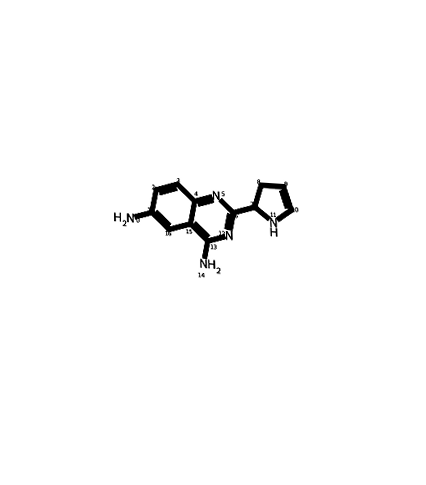 Nc1ccc2nc(C3CC=CN3)nc(N)c2c1